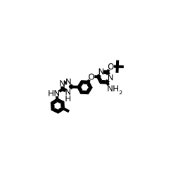 Cc1cccc(Nc2nnc(-c3cccc(Oc4cc(N)nc(OC(C)(C)C)n4)c3)[nH]2)c1